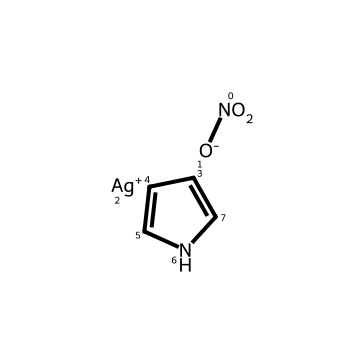 O=[N+]([O-])[O-].[Ag+].c1cc[nH]c1